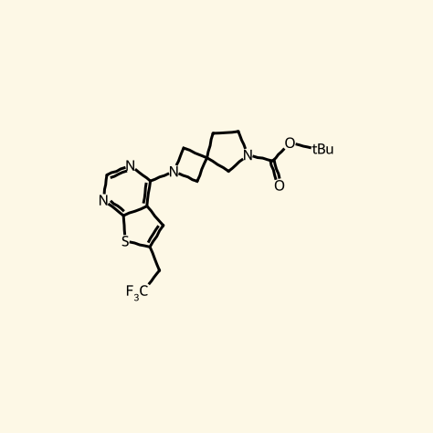 CC(C)(C)OC(=O)N1CCC2(C1)CN(c1ncnc3sc(CC(F)(F)F)cc13)C2